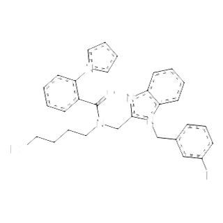 CCCCCN(Cc1nc2ccccc2n1Cc1cccc(F)c1)C(=O)c1ccccc1-n1cccc1